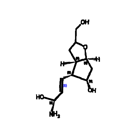 N[C@H](O)/C=C/[C@@H]1[C@H]2CC(CO)O[C@H]2C[C@H]1O